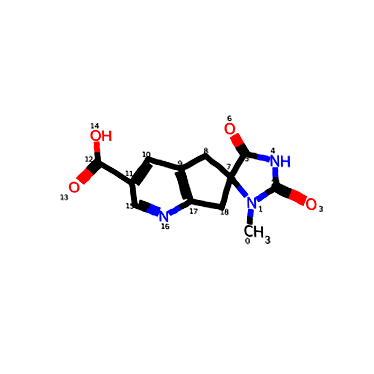 CN1C(=O)NC(=O)C12Cc1cc(C(=O)O)cnc1C2